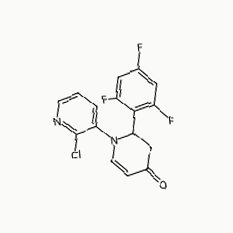 O=C1C=CN(c2cccnc2Cl)C(c2c(F)cc(F)cc2F)C1